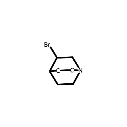 BrC1CN2CCC1CC2